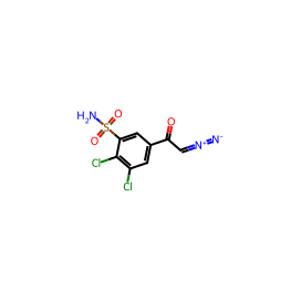 [N-]=[N+]=CC(=O)c1cc(Cl)c(Cl)c(S(N)(=O)=O)c1